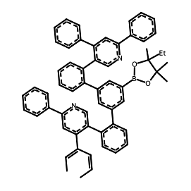 C/C=C\C(=C/C)c1cc(-c2ccccc2)ncc1-c1ccccc1-c1cc(B2OC(C)(C)C(C)(CC)O2)cc(-c2ccccc2-c2cnc(-c3ccccc3)cc2-c2ccccc2)c1